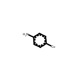 Nc1cc[c]([Cu])cc1